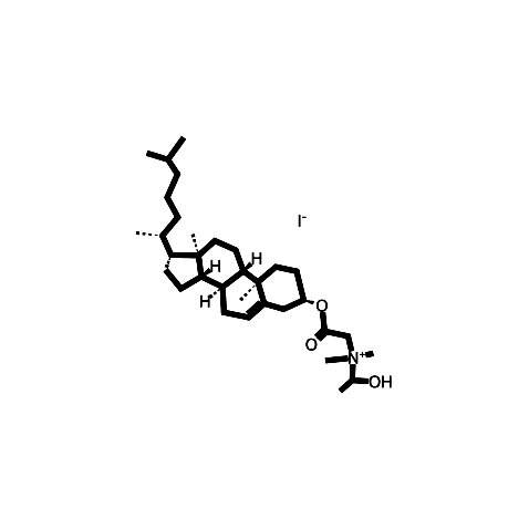 CC(C)CCC[C@@H](C)[C@H]1CC[C@H]2[C@@H]3CC=C4C[C@@H](OC(=O)C[N+](C)(C)C(C)O)CC[C@]4(C)[C@H]3CC[C@]12C.[I-]